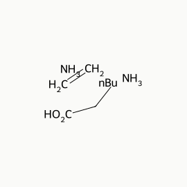 C=C.CCCCCC(=O)O.N.N